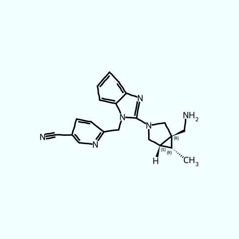 C[C@@H]1[C@@H]2CN(c3nc4ccccc4n3Cc3ccc(C#N)cn3)C[C@]12CN